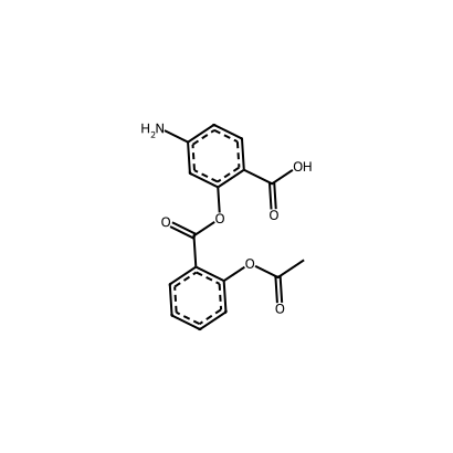 CC(=O)Oc1ccccc1C(=O)Oc1cc(N)ccc1C(=O)O